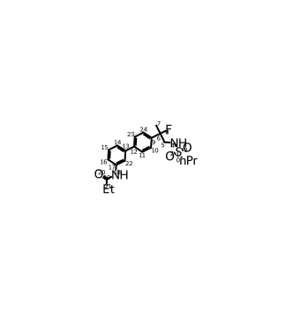 CCCS(=O)(=O)NCC(C)(F)c1ccc(-c2cccc(NC(=O)CC)c2)cc1